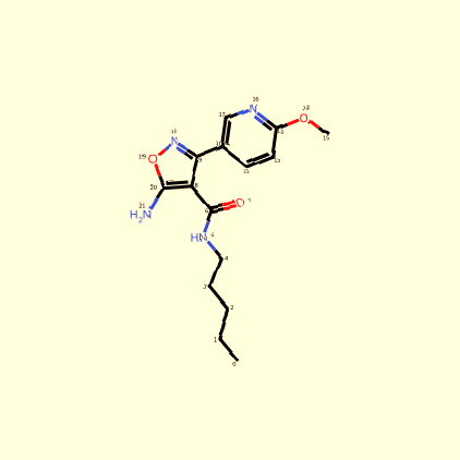 CCCCCNC(=O)c1c(-c2ccc(OC)nc2)noc1N